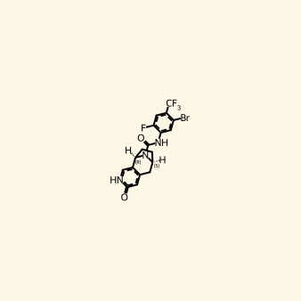 O=C(Nc1cc(Br)c(C(F)(F)F)cc1F)N1[C@H]2CC[C@@H]1c1c[nH]c(=O)cc1C2